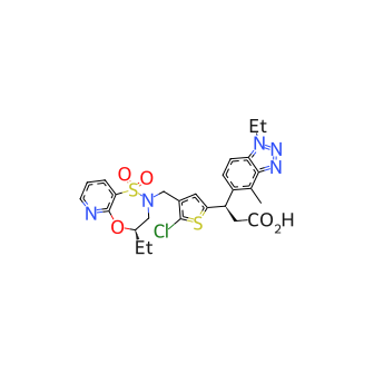 CC[C@@H]1CN(Cc2cc([C@H](CC(=O)O)c3ccc4c(nnn4CC)c3C)sc2Cl)S(=O)(=O)c2cccnc2O1